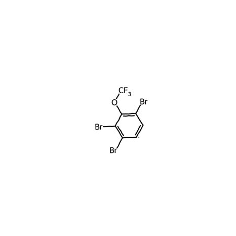 FC(F)(F)Oc1c(Br)c[c]c(Br)c1Br